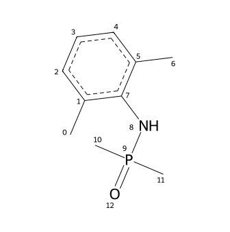 Cc1cccc(C)c1NP(C)(C)=O